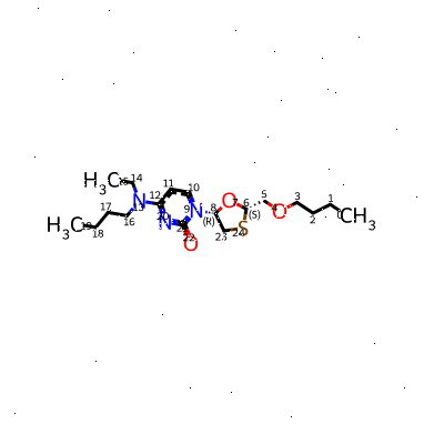 CCCCOC[C@H]1O[C@@H](n2ccc(N(CC)CCCC)nc2=O)CS1